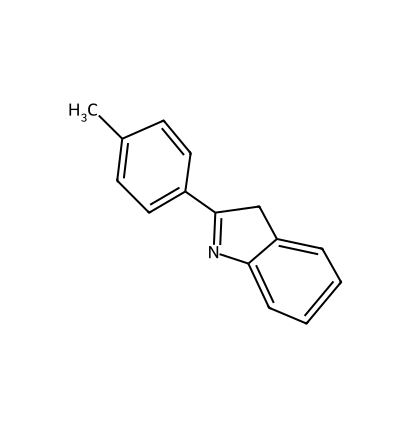 Cc1ccc(C2=Nc3ccccc3C2)cc1